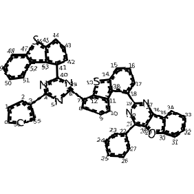 c1ccc(-c2nc(-c3cccc4c3sc3cccc(-c5nc(-c6ccccc6)c6oc7ccccc7c6n5)c34)nc(-c3cccc4sc5ccccc5c34)n2)cc1